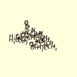 CC(C)(C)c1ccc2c(c1)C(C)(C)C(/C(C#N)=C/C(Br)=C/C(C#N)=C1/N(CCOC=O)c3ccc(C(C)(C)C)cc3C1(C)C)=[N+]2CCC(=O)O